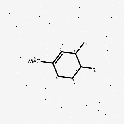 COC1=CC(C)C(C)CC1